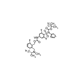 CC(C)N(C)Cc1cccc(F)c1COC(=O)Nc1cc(F)c(S(=O)(=O)N(C(=O)OC(C)(C)C)c2cscn2)c(F)c1